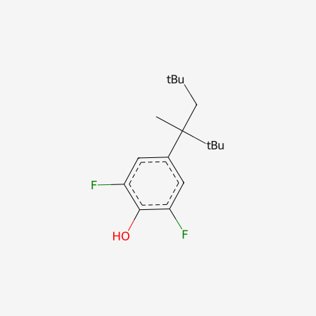 CC(C)(C)CC(C)(c1cc(F)c(O)c(F)c1)C(C)(C)C